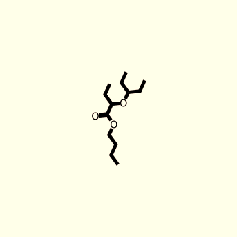 CCCCOC(=O)C(CC)OC(CC)CC